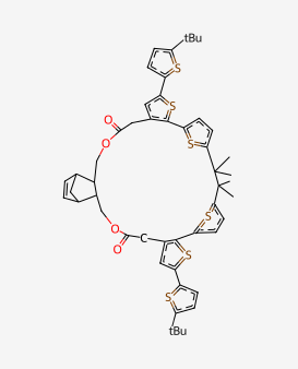 CC(C)(C)c1ccc(-c2cc3c(s2)-c2ccc(s2)C(C)(C)C(C)(C)c2ccc(s2)-c2sc(-c4ccc(C(C)(C)C)s4)cc2CC(=O)OCC2C4C=CC(C4)C2COC(=O)C3)s1